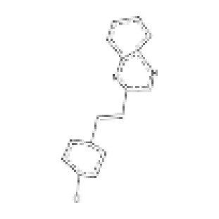 Clc1ccc(C=Cc2cnc3ccccc3n2)cc1